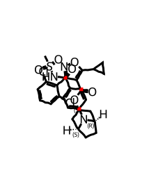 CS(=O)(=O)NC(=O)c1ccc(N2[C@@H]3CC[C@H]2C[C@H](OC(=O)c2c(-c4c(Cl)cccc4Cl)noc2C2CC2)C3)cc1